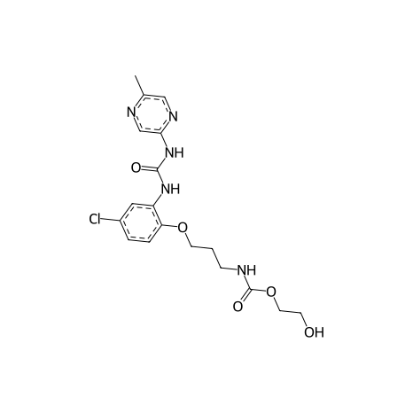 Cc1cnc(NC(=O)Nc2cc(Cl)ccc2OCCCNC(=O)OCCO)cn1